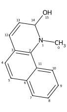 CN1c2c(ccc3ccccc23)C=CC1O